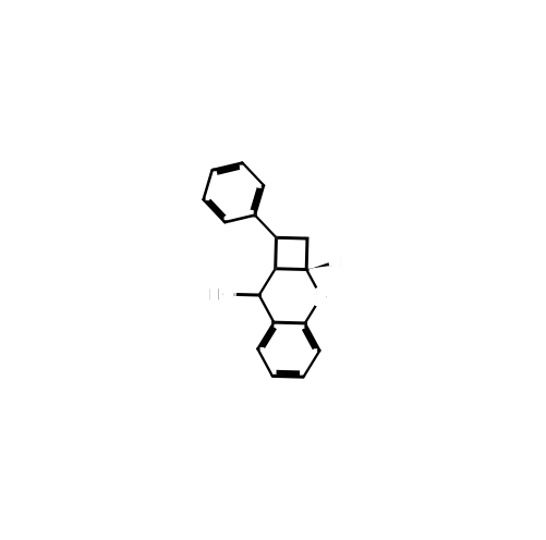 OC1c2ccccc2O[C@H]2CC(c3ccccc3)C12